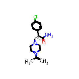 C=C(C)N1CCN(C[C@@H](C(N)=O)c2ccc(Cl)cc2)CC1